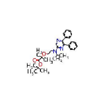 CC(C)N(CCOC(C)(C)C(=O)OC(C)(C)C)c1cnc(-c2ccccc2)c(-c2ccccc2)n1